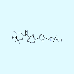 C=C1CC(Nc2nccc(-c3ccc(/C=C/C(C)(C)O)s3)n2)CC(C)(C)N1